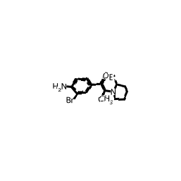 CCC1CCCCN1C(C)C(=O)c1ccc(N)c(Br)c1